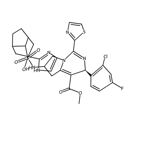 COC(=O)C1=C2CC(NS(=O)(=O)C3C4CCC3CC(O)(c3ncc[nH]3)C4)CN2C(c2nccs2)=N[C@H]1c1ccc(F)cc1Cl